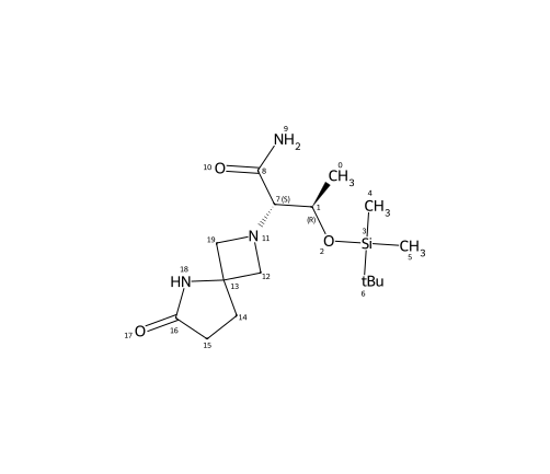 C[C@@H](O[Si](C)(C)C(C)(C)C)[C@@H](C(N)=O)N1CC2(CCC(=O)N2)C1